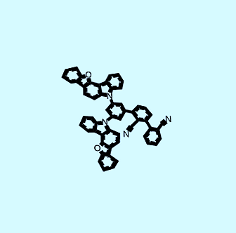 N#Cc1ccccc1-c1cccc(-c2cc(-n3c4ccccc4c4c5oc6ccccc6c5ccc43)cc(-n3c4ccccc4c4c5oc6ccccc6c5ccc43)c2)c1C#N